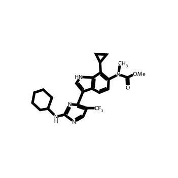 COC(=O)N(C)c1ccc2c(-c3nc(NC4CCCCC4)ncc3C(F)(F)F)c[nH]c2c1C1CC1